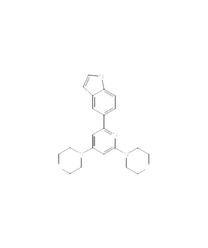 c1cc2cc(-c3cc(N4CCOCC4)cc(N4CCOCC4)n3)ccc2[nH]1